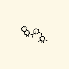 Cc1cc(CC2CCCN(C(C)c3cc4ncccc4cn3)C2)cc(C)n1